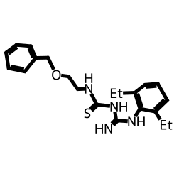 CCc1cccc(CC)c1NC(=N)NC(=S)NCCOCc1ccccc1